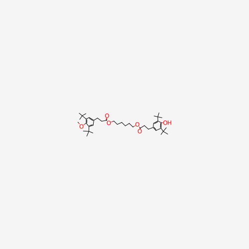 COc1c(C(C)(C)C)cc(CCC(=O)OCCCCCCOC(=O)CCc2cc(C(C)(C)C)c(O)c(C(C)(C)C)c2)cc1C(C)(C)C